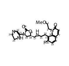 COCCn1c(=O)ccc2ccc(F)c(CCNC[C@H]3CN(C4=CN=CCN4)C(=O)O3)c21